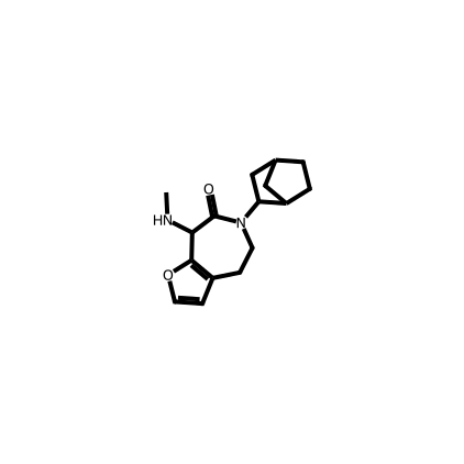 CNC1C(=O)N(C2CC3CCC2C3)CCc2ccoc21